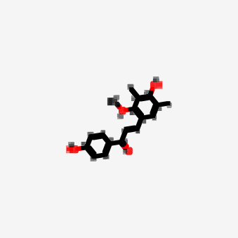 Cc1cc(C=CC(=O)c2ccc(O)cc2)c(OC(C)C)c(C)c1O